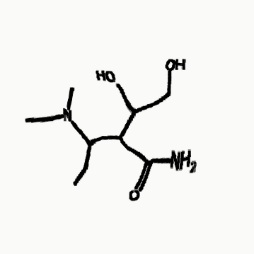 CC(C(C(N)=O)C(O)CO)N(C)C